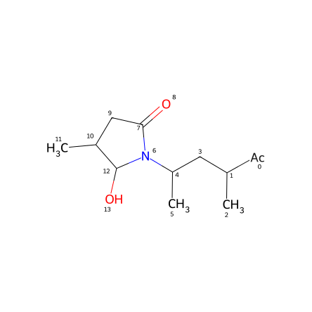 CC(=O)C(C)CC(C)N1C(=O)CC(C)C1O